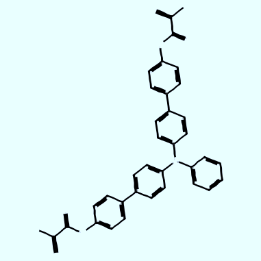 C=C(C)C(=O)Oc1ccc(-c2ccc(N(c3ccccc3)c3ccc(-c4ccc(OC(=O)C(=C)C)cc4)cc3)cc2)cc1